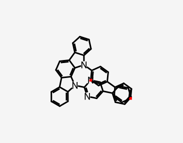 c1ccc(-c2ccc(-n3c4ccccc4c4ccc5c6ccccc6n(-c6ncc(-c7ccccc7)cn6)c5c43)cc2)cc1